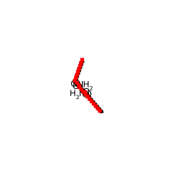 CCCCCCCCCCCCCCCC(=O)OC(=O)[C@@H](N)CSSC[C@H](N)C(=O)OC(=O)CCCCCCCCCCCCCCC